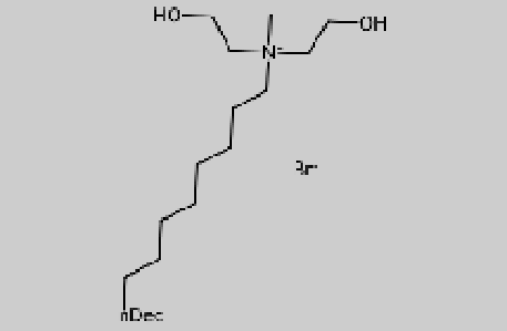 CCCCCCCCCCCCCCCCCC[N+](C)(CCO)CCO.[Br-]